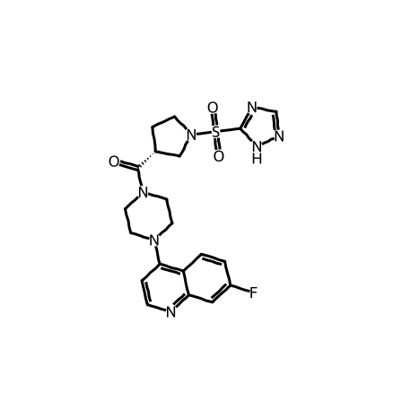 O=C([C@@H]1CCN(S(=O)(=O)c2ncn[nH]2)C1)N1CCN(c2ccnc3cc(F)ccc23)CC1